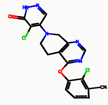 N#Cc1cccc(Oc2ncnc3c2CCN(c2cn[nH]c(=O)c2Cl)C3)c1Cl